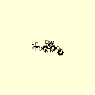 CCS(=O)(=O)c1cc(Oc2ccccn2)cnc1-c1ccc(OCC(F)(F)C(F)F)nn1